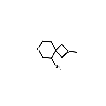 CN1CC2(CCOCC2N)C1